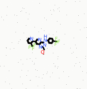 COCc1nc(Nc2ccc(C(F)(F)F)cc2)c2ncc(-c3ncccc3C(F)(F)F)cc2n1